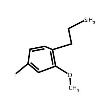 COc1cc(I)ccc1CC[SiH3]